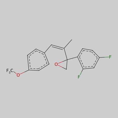 CC(=Cc1ccc(OC(F)(F)F)cc1)C1(c2ccc(F)cc2F)CO1